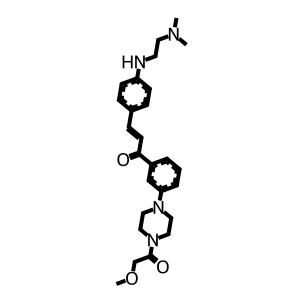 COCC(=O)N1CCN(c2cccc(C(=O)C=Cc3ccc(NCCN(C)C)cc3)c2)CC1